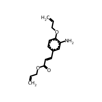 C=CCOC(=O)/C=C/c1ccc(OCC=C)c(N)c1